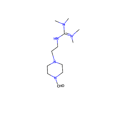 CN(C)C(NCCN1CCN(C=O)CC1)=[N+](C)C